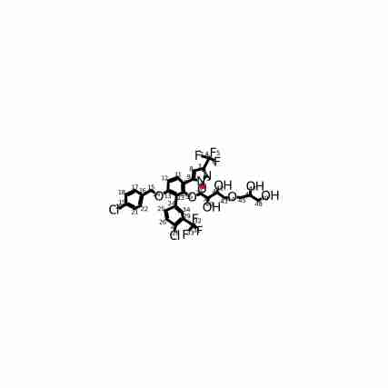 Cn1nc(C(F)(F)F)cc1-c1ccc(OCc2ccc(Cl)cc2)c(-c2ccc(Cl)c(C(F)(F)F)c2)c1OC(=O)C(O)C(O)COCC(O)CO